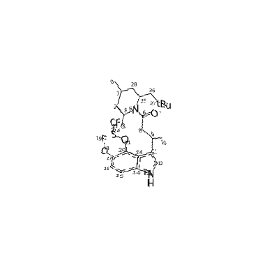 CC1CC(C)N(C(=O)CC(C)c2c[nH]c3ccc(OF)c(OSC(F)(F)F)c23)C(CC(C)(C)C)C1